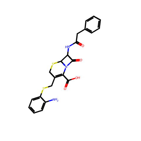 Nc1ccccc1SCC1=C(C(=O)O)N2C(=O)C(NC(=O)Cc3ccccc3)C2SC1